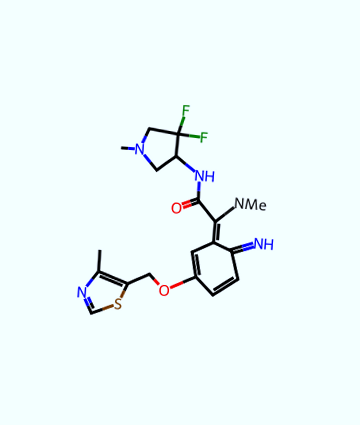 CN/C(C(=O)NC1CN(C)CC1(F)F)=C1/C=C(OCc2scnc2C)C=CC1=N